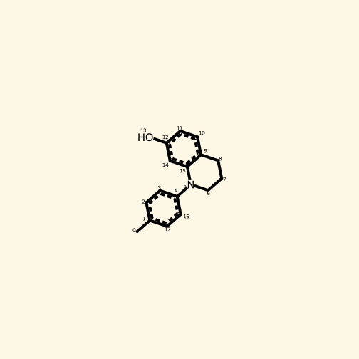 Cc1ccc(N2CCCc3ccc(O)cc32)cc1